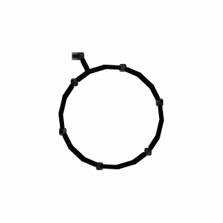 OC1COCCOCCOCCOCCOCCO1